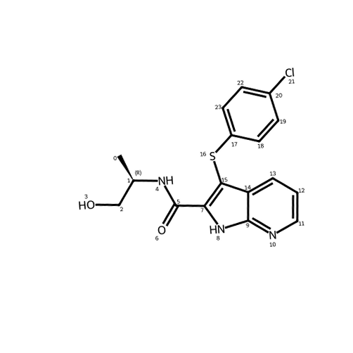 C[C@H](CO)NC(=O)c1[nH]c2ncccc2c1Sc1ccc(Cl)cc1